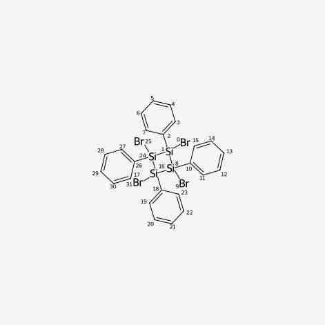 Br[Si]1(c2ccccc2)[Si](Br)(c2ccccc2)[Si](Br)(c2ccccc2)[Si]1(Br)c1ccccc1